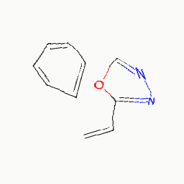 C=Cc1nnco1.c1ccccc1